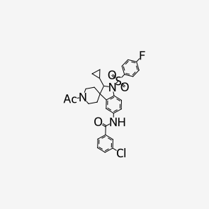 CC(=O)N1CCC2(CC1)c1cc(NC(=O)c3cccc(Cl)c3)ccc1N(S(=O)(=O)c1ccc(F)cc1)C2C1CC1